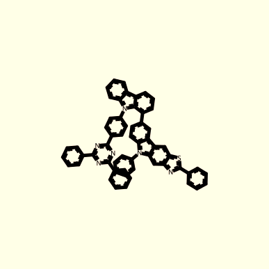 c1ccc(-c2nc(-c3ccccc3)nc(-c3ccc(-n4c5ccccc5c5cccc(-c6ccc7c(c6)c6cc8sc(-c9ccccc9)nc8cc6n7-c6ccccc6)c54)cc3)n2)cc1